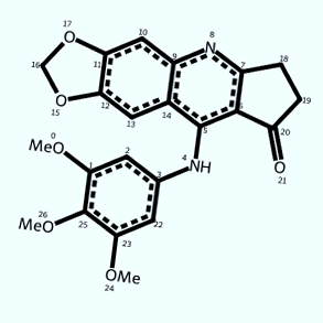 COc1cc(Nc2c3c(nc4cc5c(cc24)OCO5)CCC3=O)cc(OC)c1OC